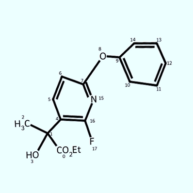 CCOC(=O)C(C)(O)c1ccc(Oc2ccccc2)nc1F